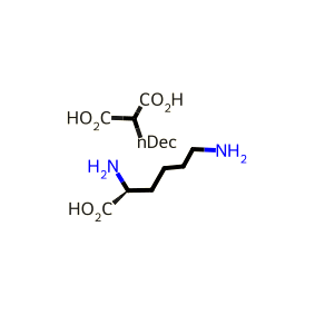 CCCCCCCCCCC(C(=O)O)C(=O)O.NCCCC[C@H](N)C(=O)O